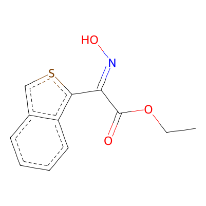 CCOC(=O)/C(=N/O)c1scc2ccccc12